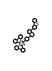 c1ccc(-c2ccccc2-c2nc(-c3ccc(-c4cccc5c(-c6ccc7sc8ccccc8c7c6)cccc45)cc3)nc(-c3ccccc3-c3ccccc3)n2)cc1